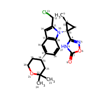 C[C@H]1C[C@]1(c1noc(=O)[nH]1)n1c(CCl)cc2cc([C@H]3CCOC(C)(C)C3)ccc21